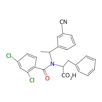 CC(c1cccc(C#N)c1)N(C(=O)c1ccc(Cl)cc1Cl)C(Cc1ccccc1)C(=O)O